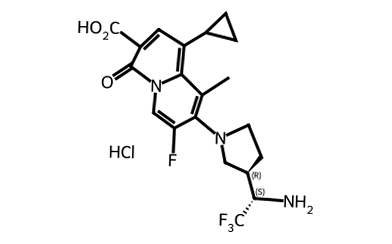 Cc1c(N2CC[C@@H]([C@H](N)C(F)(F)F)C2)c(F)cn2c(=O)c(C(=O)O)cc(C3CC3)c12.Cl